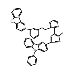 Cc1ccc(-c2ccc3c(c2)c2ccccc2n3-c2ccccc2)cc1-c1ccccc1CCc1cccc(-c2ccc3oc4ccccc4c3c2)c1